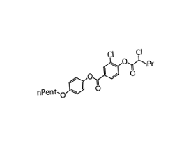 CCCCCOc1ccc(OC(=O)c2ccc(OC(=O)C(Cl)C(C)C)c(Cl)c2)cc1